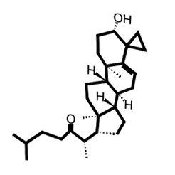 CC(C)CCC(=O)[C@@H](C)[C@H]1CC[C@H]2[C@@H]3CC=C4C5(CC5)[C@@H](O)CC[C@]4(C)[C@H]3CC[C@]12C